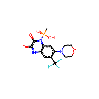 CP(=O)(O)n1c(=O)c(=O)[nH]c2cc(C(F)(F)F)c(N3CCOCC3)cc21